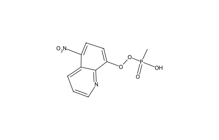 CP(=O)(O)OOc1ccc([N+](=O)[O-])c2cccnc12